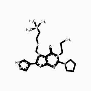 CCCn1c(N2CCCC2)nc2nc(-c3cn[nH]c3)n(COCC[Si](C)(C)C)c2c1=O